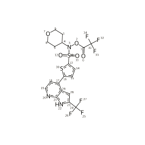 O=C(ON(C1CCOCC1)S(=O)(=O)c1ccc(-c2ccnc3[nH]c(C(F)(F)F)cc23)s1)C(F)(F)F